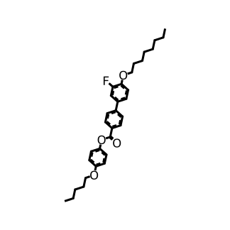 CCCCCCCCOc1ccc(-c2ccc(C(=O)Oc3ccc(OCCCCC)cc3)cc2)cc1F